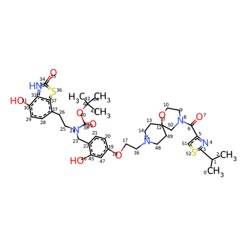 CC(C)c1nc(C(=O)N2CCOC3(CCN(CCOc4ccc(CN(CCc5ccc(O)c6[nH]c(=O)sc56)C(=O)OC(C)(C)C)c(O)c4)CC3)C2)cs1